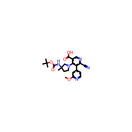 COc1cc(-c2c(C#N)ncc(C(=O)O)c2N2CCC(C)(NC(=O)OC(C)(C)C)C2)ccn1